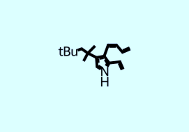 C=C/C=C\c1c(C(C)(C)CC(C)(C)C)c[nH]c1C=C